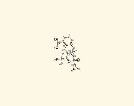 O=[N+]([O-])c1cccc2ccc(C(OP(=O)(N3CC3)N3CC3)C(F)(F)F)cc12